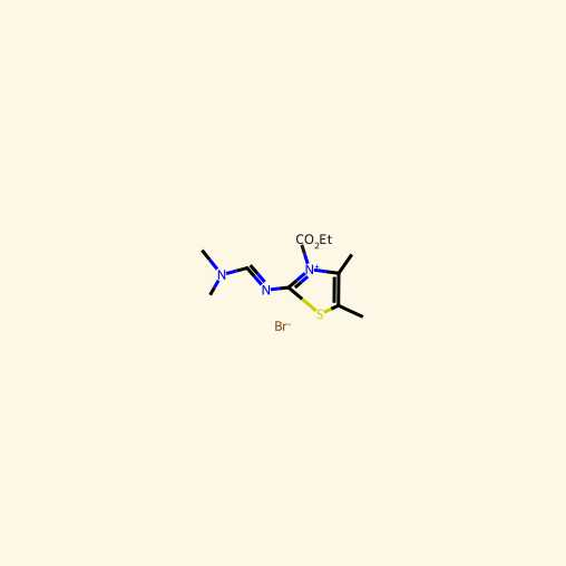 CCOC(=O)[n+]1c(N=CN(C)C)sc(C)c1C.[Br-]